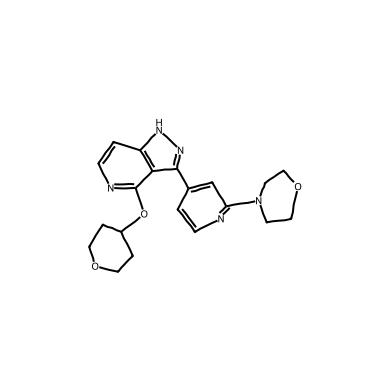 c1cc(-c2n[nH]c3ccnc(OC4CCOCC4)c23)cc(N2CCOCC2)n1